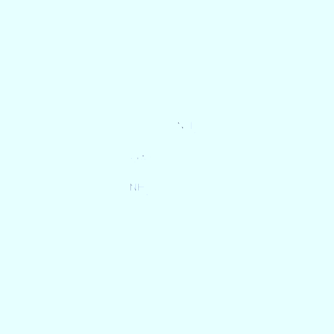 CC(=O)ON.NC1CCCCC1